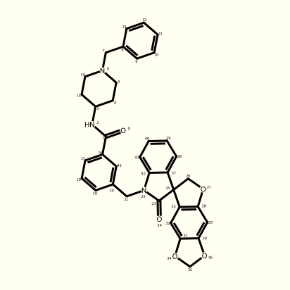 O=C(NC1CCN(Cc2ccccc2)CC1)c1cccc(CN2C(=O)C3(COc4cc5c(cc43)OCO5)c3ccccc32)c1